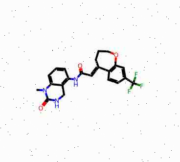 CN1C(=O)NCc2c(NC(=O)/C=C3\CCCOc4cc(C(F)(F)F)ccc43)cccc21